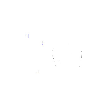 [N-]=[N+]=C1CC2CCC1(Br)CC2